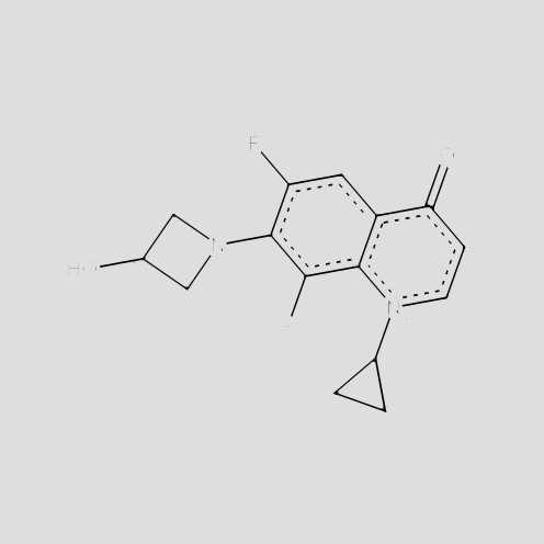 O=c1ccn(C2CC2)c2c(F)c(N3CC(O)C3)c(F)cc12